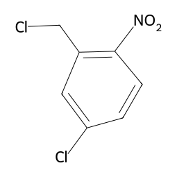 O=[N+]([O-])c1ccc(Cl)cc1CCl